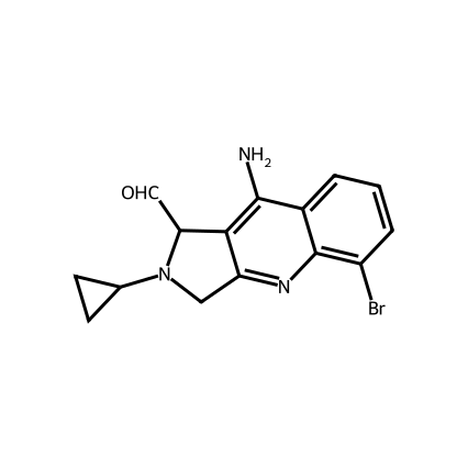 Nc1c2c(nc3c(Br)cccc13)CN(C1CC1)C2C=O